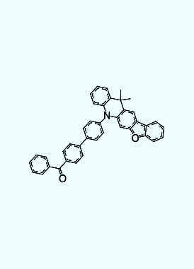 CC1(C)c2ccccc2N(c2ccc(-c3ccc(C(=O)c4ccccc4)cc3)cc2)c2cc3oc4ccccc4c3cc21